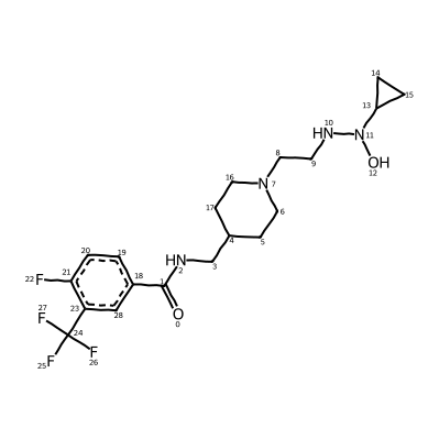 O=C(NCC1CCN(CCNN(O)C2CC2)CC1)c1ccc(F)c(C(F)(F)F)c1